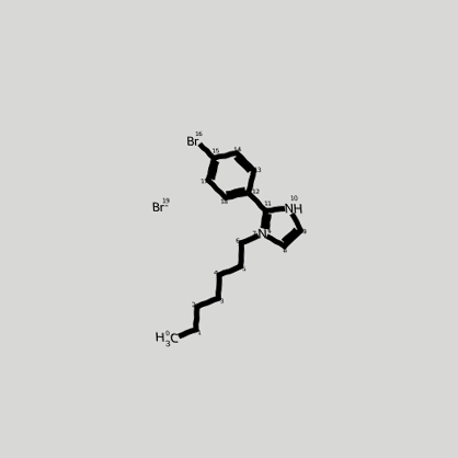 CCCCCCC[n+]1cc[nH]c1-c1ccc(Br)cc1.[Br-]